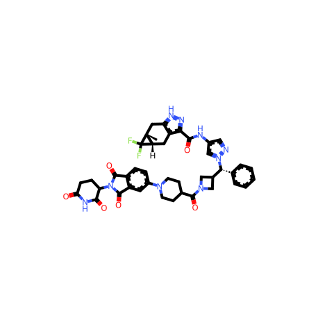 C[C@@]12Cc3[nH]nc(C(=O)Nc4cnn([C@H](c5ccccc5)C5CN(C(=O)C6CCN(c7ccc8c(c7)C(=O)N(C7CCC(=O)NC7=O)C8=O)CC6)C5)c4)c3C[C@@H]1C2(F)F